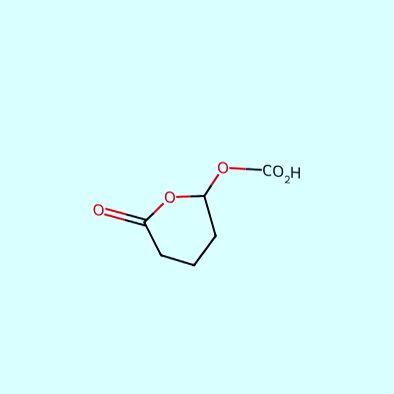 O=C(O)OC1CCCC(=O)O1